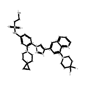 O=S(=O)(CCO)Nc1ccc(-n2cc(-c3cc(N4CCC(F)(F)CC4)c4ncccc4c3)nn2)c(N2CCC3(CC2)CC3)c1